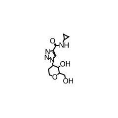 O=C(NC1CC1)c1cn(C2CCOC(CO)C2O)nn1